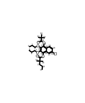 CCCOc1c(OCCC)c(OC(=O)C(C)(C)CCC)c2cc(Cl)ccc2c1OC(=O)C(C)(C)C